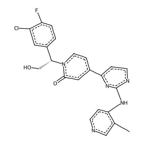 Cc1cnccc1Nc1nccc(-c2ccn([C@H](CO)c3ccc(F)c(Cl)c3)c(=O)c2)n1